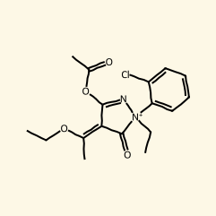 CCO/C(C)=C1/C(=O)[N+](CC)(c2ccccc2Cl)N=C1OC(C)=O